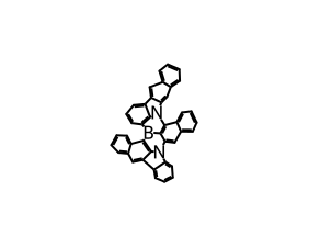 c1ccc2cc3c(cc2c1)c1cccc2c1n3-c1c3c(cc4ccccc14)-n1c4ccccc4c4cc5ccccc5c(c41)B32